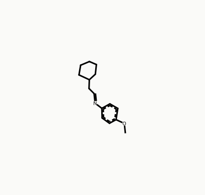 COc1ccc(N=CCC2CCCCC2)cc1